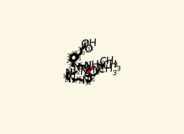 CC(C)(C)CN1CCC2(CC1)CCN(CCCn1ccnc1CN(Cc1cccc(CCC(=O)O)c1)Cc1ncc[nH]1)C2